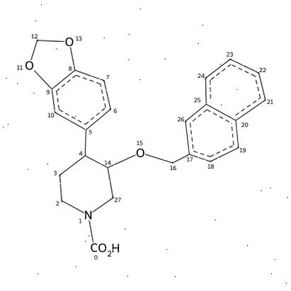 O=C(O)N1CCC(c2ccc3c(c2)OCO3)C(OCc2ccc3ccccc3c2)C1